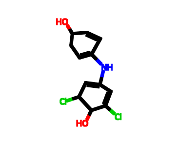 OC1C=CC(NC2=CC(Cl)C(O)C(Cl)=C2)=CC1